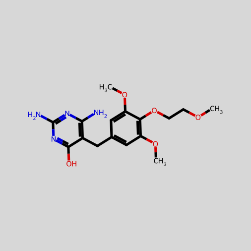 COCCOc1c(OC)cc(Cc2c(N)nc(N)nc2O)cc1OC